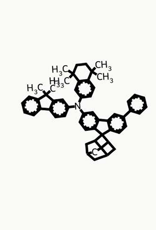 CC1(C)CCC(C)(C)c2cc(N(c3ccc4c(c3)-c3cc(-c5ccccc5)ccc3C43C4CC5CC6CC3C64C5)c3ccc4c(c3)C(C)(C)c3ccccc3-4)ccc21